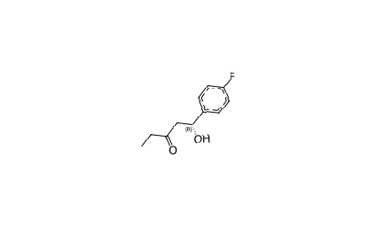 CCC(=O)C[C@@H](O)c1ccc(F)cc1